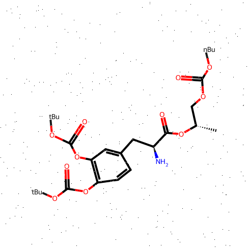 CCCCOC(=O)OC[C@H](C)OC(=O)[C@@H](N)Cc1ccc(OC(=O)OC(C)(C)C)c(OC(=O)OC(C)(C)C)c1